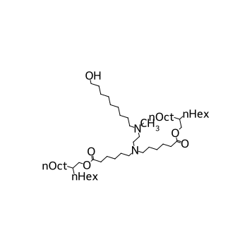 CCCCCCCCC(CCCCCC)COC(=O)CCCCCN(CCCCCC(=O)OCC(CCCCCC)CCCCCCCC)CCN(C)CCCCCCCCCO